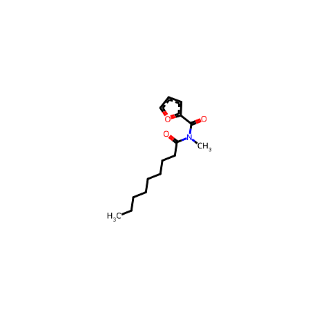 CCCCCCCCC(=O)N(C)C(=O)c1ccco1